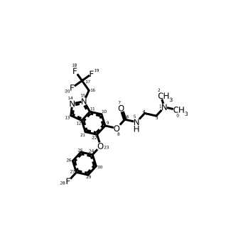 CN(C)CCNC(=O)Oc1cc2c(cnn2CC(F)(F)F)cc1Oc1ccc(F)cc1